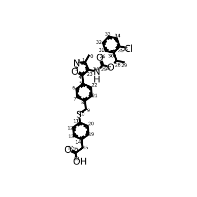 Cc1noc(-c2ccc(CSc3ccc(CC(=O)O)cc3)cc2)c1NC(=O)OC(C)c1ccccc1Cl